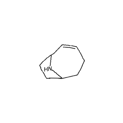 C1=CC2CCC(CC1)N2